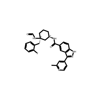 Cc1cc(-c2n[nH]c3ccc(C(=O)N[C@@H]4CCC[C@](Cc5ccccc5F)(NC=O)C4)cc23)ccn1